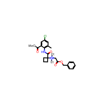 CC[N+](CC)(CC(=O)OCc1ccccc1)C1(C(=O)Nc2c(C)cc(Cl)cc2C(=O)OC)CCC1